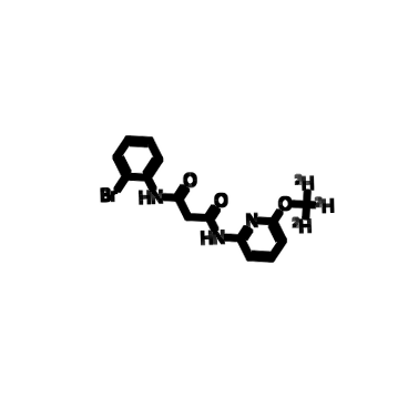 [2H]C([2H])([2H])Oc1cccc(NC(=O)CC(=O)Nc2ccccc2Br)n1